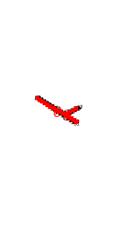 CCCCCCCCCCCC[CH]CCOC(=O)CCCCC(OCCCCCCCC)OCCCCCCCC